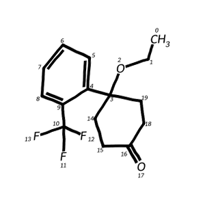 CCOC1(c2ccccc2C(F)(F)F)CCC(=O)CC1